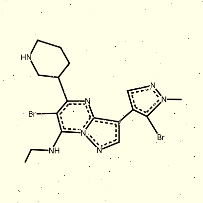 CCNc1c(Br)c(C2CCCNC2)nc2c(-c3cnn(C)c3Br)cnn12